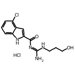 Cl.NC(=NC(=O)c1cc2c(Cl)cccc2[nH]1)NCCCO